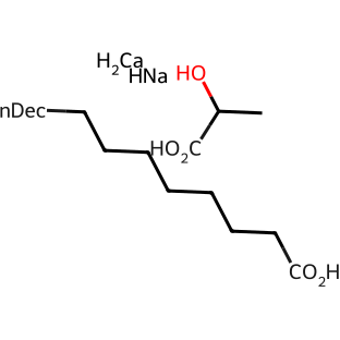 CC(O)C(=O)O.CCCCCCCCCCCCCCCCCC(=O)O.[CaH2].[NaH]